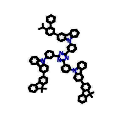 CC(C)c1ccc(-c2ccc3c(c2)c2ccccc2n3-c2cccc(-c3nc(-c4cccc(-n5c6ccccc6c6cc(-c7ccc8c(c7)-c7ccccc7C8(C)C)ccc65)c4)nc(-c4cccc(-n5c6ccccc6c6cc(-c7ccc8c(c7)-c7ccccc7C8(C)C)ccc65)c4)n3)c2)cc1-c1ccccc1